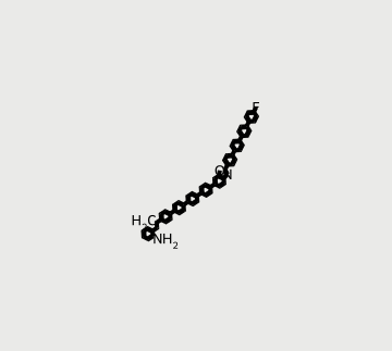 C=C(Cc1ccccc1N)c1ccc(-c2ccc(-c3ccc(-c4ccc(-c5ccc6nc(-c7ccc(-c8ccc(-c9ccc(-c%10ccc(F)cc%10)cc9)cc8)cc7)oc6c5)cc4)cc3)cc2)cc1